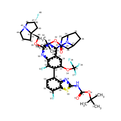 CC(C)(C)OC(=O)Nc1nc2c(-c3c(OC(F)(F)F)cc4c(N5CC6CCC(C5)N6C(=O)OC(C)(C)C)nc(OC[C@@]56CCCN5C[C@H](F)C6)nc4c3F)ccc(F)c2s1